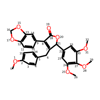 COc1ccc(CC2=C(c3ccc4c(c3)OCO4)C(=O)OC2c2cc(OC)c(OC)c(OC)c2)cc1